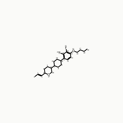 C/C=C/C1CCC(C2CCC(c3ccc(OCCCC)c(F)c3F)CC2)CO1